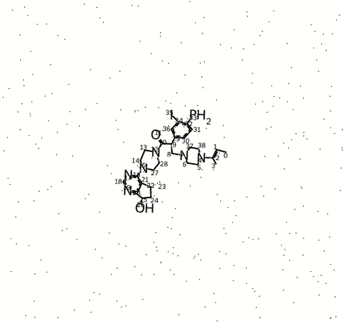 CC=C(C)N1CCN(C[C@@H](C(=O)N2CCN(c3ncnc4c3[C@H](C)C[C@H]4O)CC2)c2ccc(P)c(I)c2)CC1